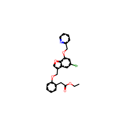 CCOC(=O)Cc1ccccc1OCc1coc2c(OCc3ccccn3)cc(Br)cc12